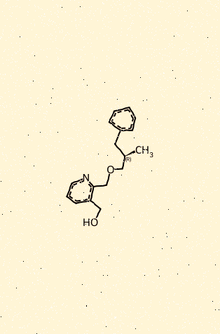 C[C@@H](COCc1ncccc1CO)Cc1ccccc1